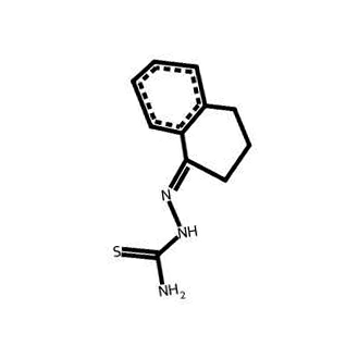 NC(=S)N/N=C1\CCCc2ccccc21